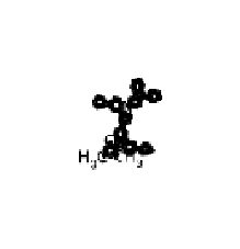 Cc1cc(C)c(-n2c3ccc(-c4ccccc4)cc3c3cc(-c4ccc5c(c4)c4cc(-c6ccccc6)ccc4n5-c4ccc5c(c4)c4ccccc4n5-c4ccccc4)ccc32)c(C)c1